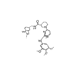 COc1cc(Nc2nccc(N3CCCC(C(=O)NCc4ccc5[nH]c(C)cc5c4)C3)n2)cc(OC)c1OC